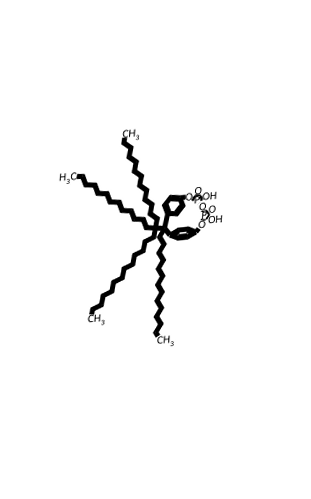 CCCCCCCCCCCCCCC1(C(CCCCCCCCCCCCC)(CCCCCCCCCCCCC)CCCCCCCCCCCCC)c2ccc(cc2)OP(=O)(O)OP(=O)(O)Oc2ccc1cc2